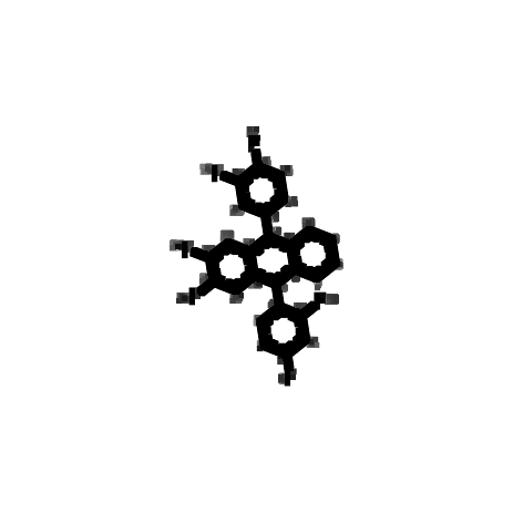 Fc1ccc(-c2c3ccccc3c(-c3ccc(F)c(F)c3)c3cc(F)c(F)cc23)c(F)c1